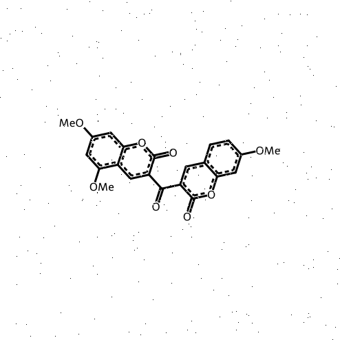 COc1ccc2cc(C(=O)c3cc4c(OC)cc(OC)cc4oc3=O)c(=O)oc2c1